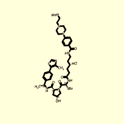 CNCCN1CCN(c2ccc(C(=O)NCCCCCC(=O)N[C@H](C(=O)N3C[C@H](O)C[C@H]3C(=O)N[C@@H](C)c3ccc(-c4scnc4C)cc3)C(C)(C)C)cc2)CC1.Cl